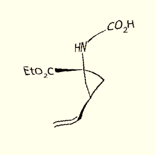 C=C[C@@H]1C[C@]1(NC(=O)O)C(=O)OCC